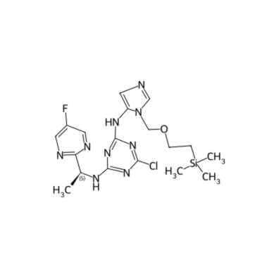 C[C@H](Nc1nc(Cl)nc(Nc2cncn2COCC[Si](C)(C)C)n1)c1ncc(F)cn1